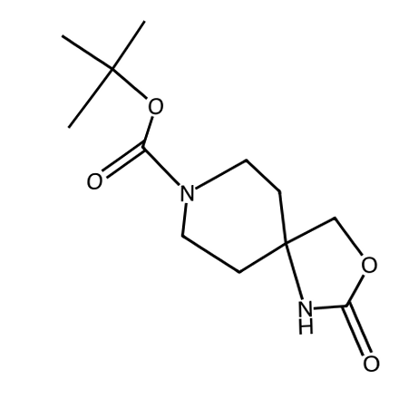 CC(C)(C)OC(=O)N1CCC2(CC1)COC(=O)N2